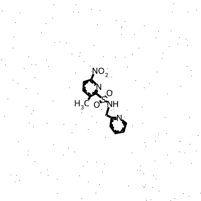 Cc1ccc([N+](=O)[O-])nc1S(=O)(=O)NCc1ccccn1